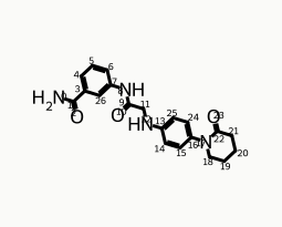 NC(=O)c1cccc(NC(=O)CNc2ccc(N3CCCCC3=O)cc2)c1